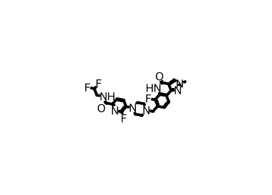 Cn1cc2c(=O)[nH]c3c(F)c(CN4CCN(c5ccc(C(=O)NCC(F)F)nc5F)CC4)ccc3c2n1